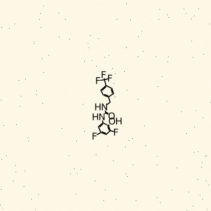 O=C(NCc1ccc(C(F)(F)F)cc1)Nc1cc(F)cc(F)c1O